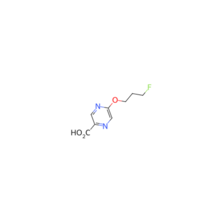 O=C(O)c1cnc(OCCCF)cn1